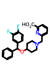 O=C(O)c1cccc(CN2CCC(OC(c3ccccc3)c3ccc(F)c(F)c3)CC2)n1